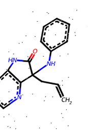 C=CCC1(Nc2ccccc2)C(=O)Nc2cccnc21